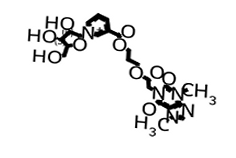 Cn1cnc2c1c(=O)n(CC(=O)OCCCOC(=O)c1ccc[n+](C3OC(CO)[C@@H](O)[C@H]3O)c1)c(=O)n2C